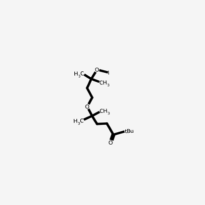 CC(C)(CCOC(C)(C)CCC(=O)C(C)(C)C)OI